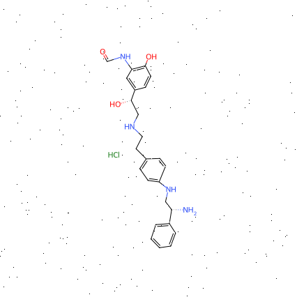 Cl.N[C@@H](CNc1ccc(CCNC[C@H](O)c2ccc(O)c(NC=O)c2)cc1)c1ccccc1